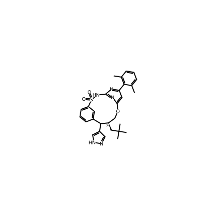 Cc1cccc(C)c1-c1cc2nc(n1)NS(=O)(=O)c1cccc(c1)C(c1cn[nH]c1)[C@H](CC(C)(C)C)CO2